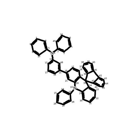 c1ccc(N(c2ccccc2)c2cccc(-c3ccc4c(c3)N(c3ccccc3)c3ccccc3C43c4ccccc4-c4ccccc43)c2)cc1